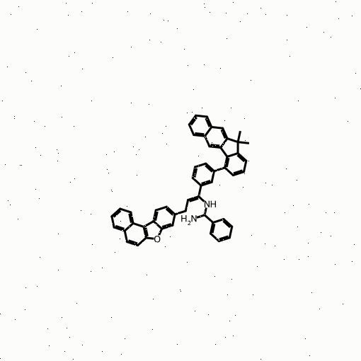 CC1(C)c2cc3ccccc3cc2-c2c(-c3cccc(/C(=C/Cc4ccc5c(c4)oc4ccc6ccccc6c45)NC(N)c4ccccc4)c3)cccc21